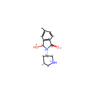 Cc1ccc2c(c1)C(O)N([C@H]1CCCNC1)C2=O